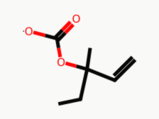 C=CC(C)(CC)OC([O])=O